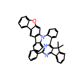 CC1(C)c2ccccc2-c2nc(-c3ccccc3)nc(-c3ccccc3-n3c4ccccc4c4cc5c(cc43)oc3ccccc35)c21